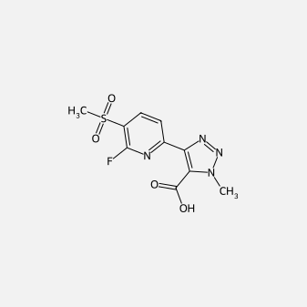 Cn1nnc(-c2ccc(S(C)(=O)=O)c(F)n2)c1C(=O)O